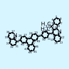 CC1(C)c2ccccc2-c2nc3ccccc3c(-c3ccc(-c4ccc5c6ccc(-c7cccc8cccnc78)cc6c6ccccc6c5c4)cc3)c21